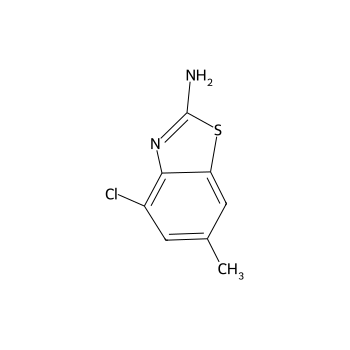 Cc1cc(Cl)c2nc(N)sc2c1